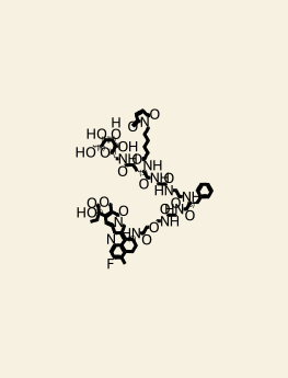 CC[C@@]1(O)C(=O)OCc2c1cc1n(c2=O)Cc2c-1nc1cc(F)c(C)c3c1c2[C@@H](NC(=O)COCNC(=O)CNC(=O)[C@H](Cc1ccccc1)NC(=O)CNC(=O)CNC(=O)[C@H](CCC(=O)NC[C@@H]1O[C@H](CO)[C@@H](O)[C@H](O)[C@H]1O)NC(=O)CCCCCN1C(=O)C=CC1=O)CC3